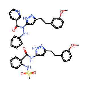 COc1cccc(CCc2cc(N(Nc3ccccc3)C(=O)c3cccnc3)[nH]n2)c1.COc1cccc(CCc2cc(NC(=O)c3ccccc3NS(C)(=O)=O)[nH]n2)c1